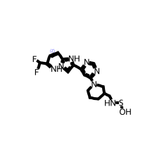 N=C(/C=C\c1ncc(-c2cc(N3CCCC(CNSO)C3)ncn2)[nH]1)C(F)F